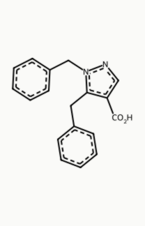 O=C(O)c1cnn(Cc2ccccc2)c1Cc1ccccc1